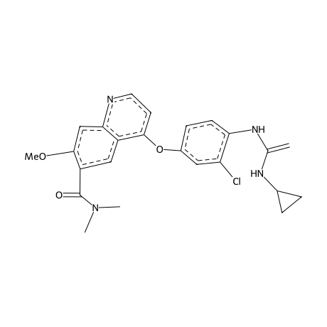 C=C(Nc1ccc(Oc2ccnc3cc(OC)c(C(=O)N(C)C)cc23)cc1Cl)NC1CC1